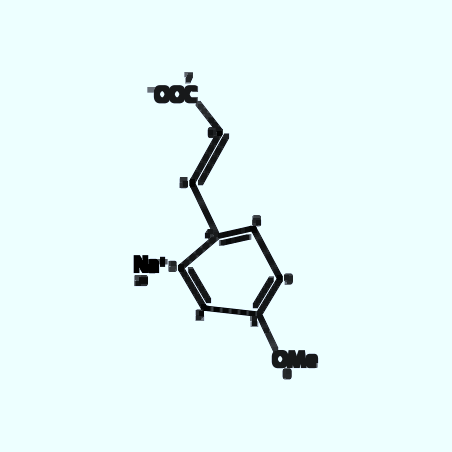 COc1ccc(C=CC(=O)[O-])cc1.[Na+]